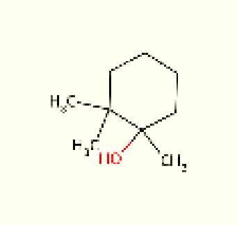 CC1(C)CCCCC1(C)O